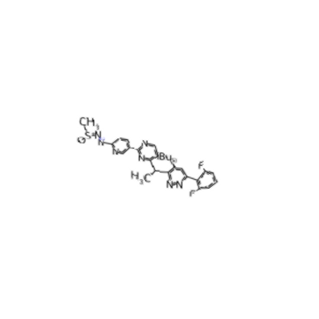 CC[C@H](C)c1cc(-c2c(F)cccc2F)nnc1C(C)c1ccnc(-c2ccc(/N=N/[S+](C)[O-])nc2)n1